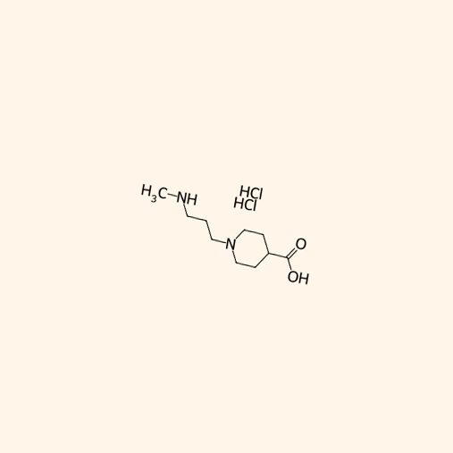 CNCCCN1CCC(C(=O)O)CC1.Cl.Cl